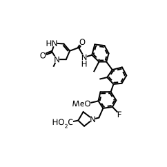 COc1cc(-c2cccc(-c3cccc(NC(=O)C4=CNC(=O)N(C)C4)c3C)c2C)cc(F)c1CN1CC(C(=O)O)C1